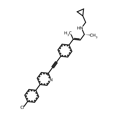 C/C(=C\[C@@H](C)NCC1CC1)c1ccc(C#Cc2ccc(-c3ccc(Cl)cc3)cn2)cc1